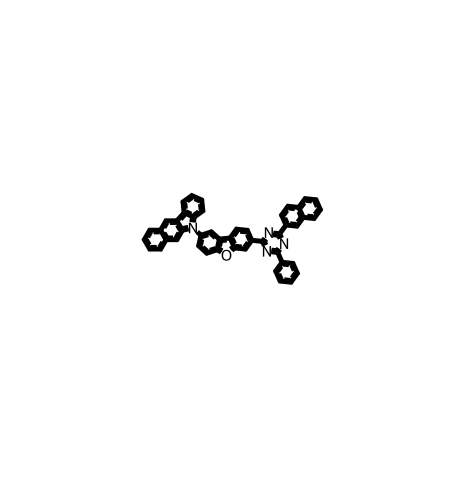 c1ccc(-c2nc(-c3ccc4ccccc4c3)nc(-c3ccc4c(c3)oc3ccc(-n5c6ccccc6c6cc7ccccc7cc65)cc34)n2)cc1